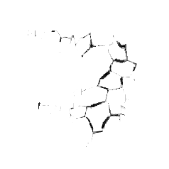 C=CC(=O)N1CC(n2ncc3cnc4c(F)c(-c5c(F)cc(F)c6sc(N)nc56)c(Cl)cc4c32)C1